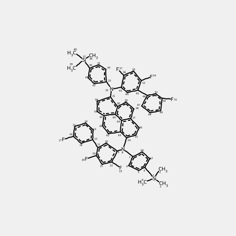 C[Si](C)(C)c1ccc(N(c2cc(-c3cccc(F)c3)c(F)cc2F)c2ccc3ccc4c(N(c5ccc([Si](C)(C)C)cc5)c5cc(-c6cccc(F)c6)c(F)cc5F)ccc5ccc2c3c54)cc1